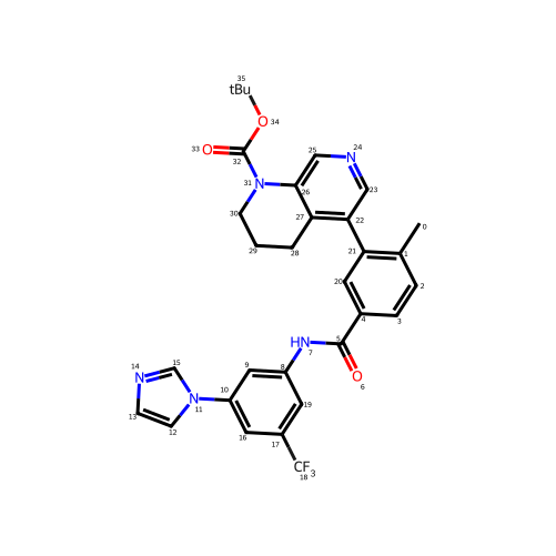 Cc1ccc(C(=O)Nc2cc(-n3ccnc3)cc(C(F)(F)F)c2)cc1-c1cncc2c1CCCN2C(=O)OC(C)(C)C